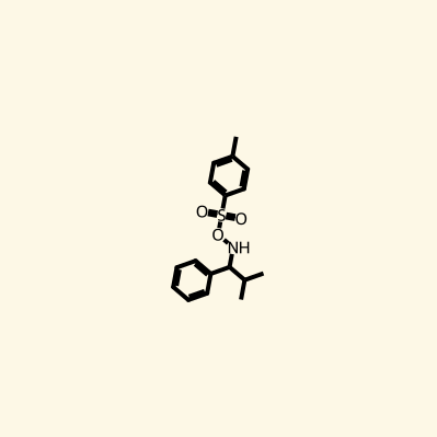 Cc1ccc(S(=O)(=O)ONC(c2ccccc2)C(C)C)cc1